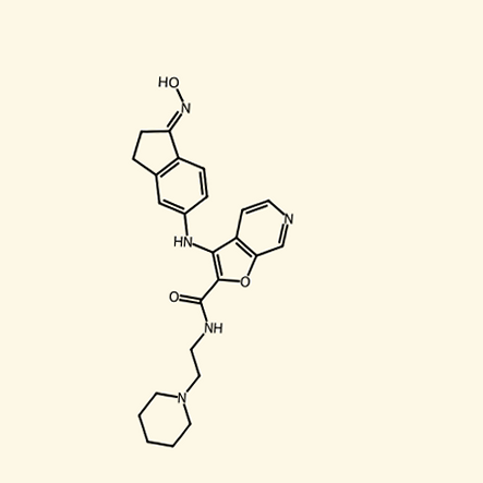 O=C(NCCN1CCCCC1)c1oc2cnccc2c1Nc1ccc2c(c1)CCC2=NO